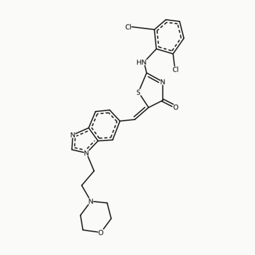 O=C1N=C(Nc2c(Cl)cccc2Cl)S/C1=C\c1ccc2ncn(CCN3CCOCC3)c2c1